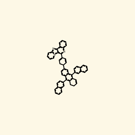 C1=Cc2c(c(-c3ccc4ccccc4c3)c3ccc(C4C=CC(c5nc6ccccc6c6nc7ccccn7c56)=CC4)cc3c2-c2ccc3ccccc3c2)CC1